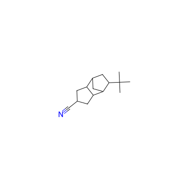 CC(C)(C)C1CC2CC1C1CC(C#N)CC21